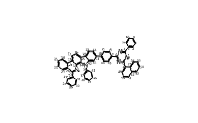 c1ccc(-c2nc(-c3ccc(-c4ccc5c6ccc7c8ccccc8c(-c8ccccc8)nc7c6n(-c6ccccc6)c5c4)cc3)nc(-c3cccc4ccccc34)n2)cc1